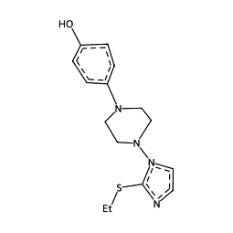 CCSc1nccn1N1CCN(c2ccc(O)cc2)CC1